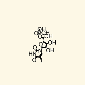 O=c1[nH]c(=O)n(C2O[C@H](C(O)OP(=O)(O)O)[C@@H](O)[C@@H]2O)cc1I